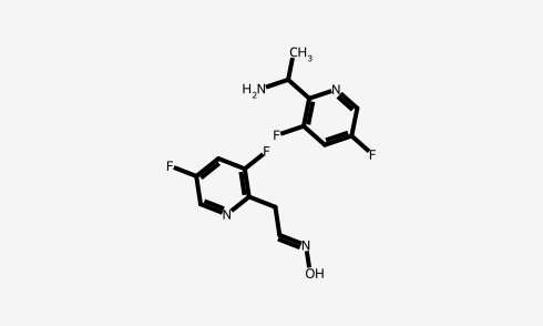 CC(N)c1ncc(F)cc1F.ON=CCc1ncc(F)cc1F